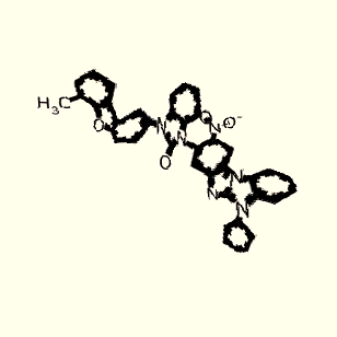 Cc1cccc2c1oc1ccc(-n3c(=O)n(-c4cc5nc6n(-c7ccccc7)c7ccccc7n6c5cc4[N+](=O)[O-])c4ccccc43)cc12